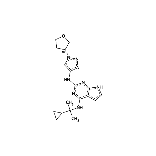 CC(C)(Nc1nc(Nc2cn([C@@H]3CCOC3)nn2)nc2[nH]ccc12)C1CC1